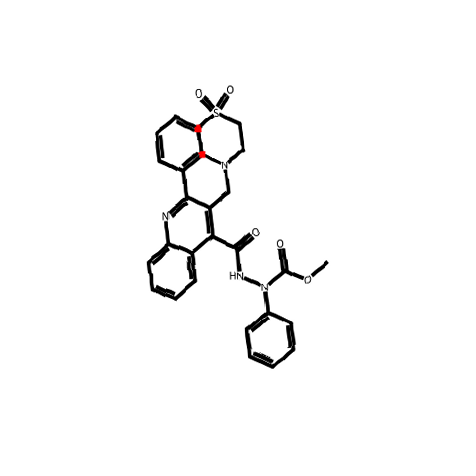 COC(=O)N(NC(=O)c1c(CN2CCS(=O)(=O)CC2)c(-c2ccccc2)nc2ccccc12)c1ccccc1